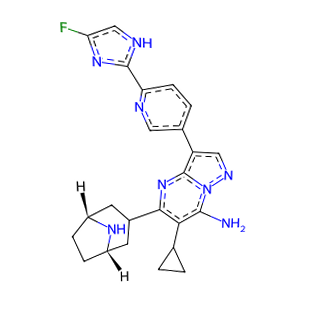 Nc1c(C2CC2)c(C2C[C@H]3CC[C@@H](C2)N3)nc2c(-c3ccc(-c4nc(F)c[nH]4)nc3)cnn12